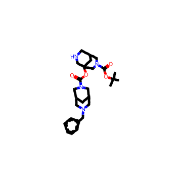 CC(C)(C)OC(=O)N1CC2CNCC(OC(=O)N3CC4CC(CN(Cc5ccccc5)C4)C3)(C2)C1